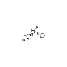 C=C(CNc1cnc(C#N)c(/C=C/C2CCCCC2)c1)C(=O)O